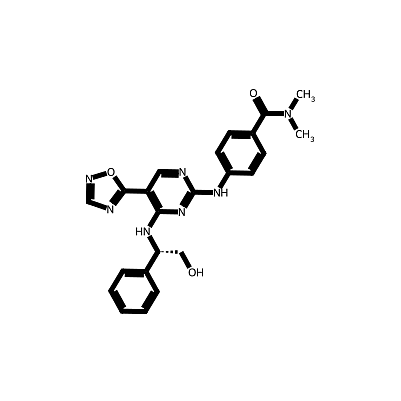 CN(C)C(=O)c1ccc(Nc2ncc(-c3ncno3)c(N[C@H](CO)c3ccccc3)n2)cc1